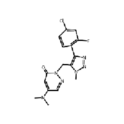 CN(C)c1cnn(Cc2c(-c3ccc(Cl)cc3F)nnn2C)c(=O)c1